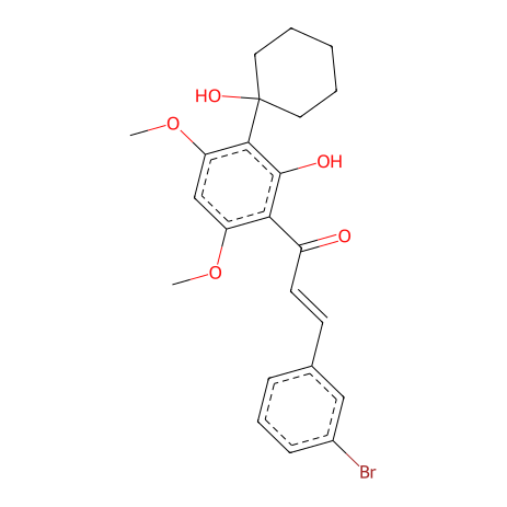 COc1cc(OC)c(C2(O)CCCCC2)c(O)c1C(=O)C=Cc1cccc(Br)c1